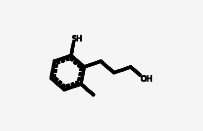 Cc1cccc(S)c1CCCO